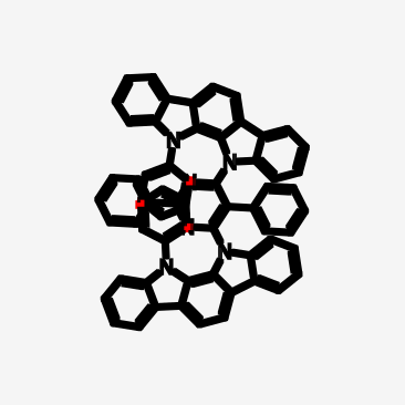 c1ccc(-c2nc(-n3c4ccccc4c4ccc5c6ccccc6n(-c6ccccc6)c5c43)c(-c3ccccc3)c(-n3c4ccccc4c4ccc5c6ccccc6n(-c6ccccc6)c5c43)n2)cc1